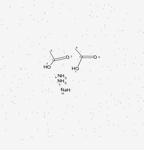 CC(=O)O.CC(=O)O.N.N.[NaH]